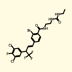 CCNC(=O)NCCNC(=O)c1ccc(/C=C/C(c2cc(Cl)c(F)c(Cl)c2)C(F)(F)F)cc1Br